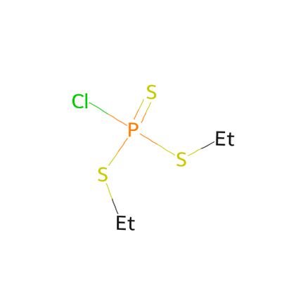 CCSP(=S)(Cl)SCC